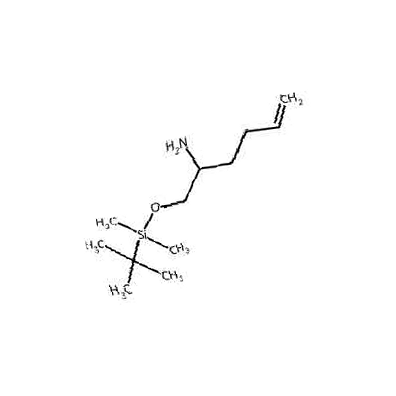 C=CCCC(N)CO[Si](C)(C)C(C)(C)C